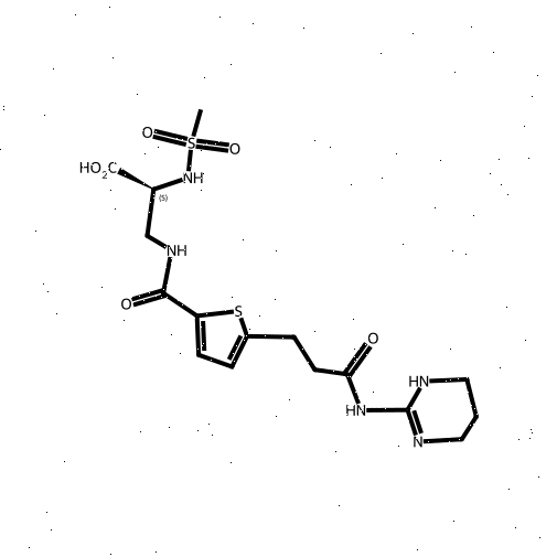 CS(=O)(=O)N[C@@H](CNC(=O)c1ccc(CCC(=O)NC2=NCCCN2)s1)C(=O)O